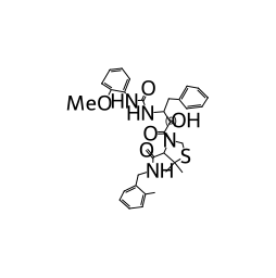 COc1ccccc1NC(=O)NC(Cc1ccccc1)[C@H](O)C(=O)N1CSC(C)(C)C1C(=O)NCc1ccccc1C